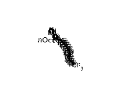 CCCCCCCCc1cc(-c2ncccn2)ccc1OCC(F)(F)C(F)(F)C(F)(F)C(F)(F)C(F)(F)OC(F)(F)C(F)(F)OC(F)(F)C(F)(F)C(F)(F)C(F)(F)F